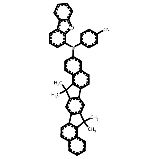 CC1(C)c2cc3c(cc2-c2ccc4ccccc4c21)C(C)(C)c1c-3ccc2cc(N(c3ccc(C#N)cc3)c3cccc4c3oc3ccccc34)ccc12